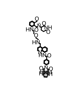 CN(C(=O)c1c(C=O)cccc1NCCOCCNCc1ccnc2c(NC(=O)c3ccc(N4C(=O)[C@@H]5[C@H](C4=O)[C@@H]4C=C[C@H]5C4)cc3)cccc12)C1CCC(=O)NC1=O